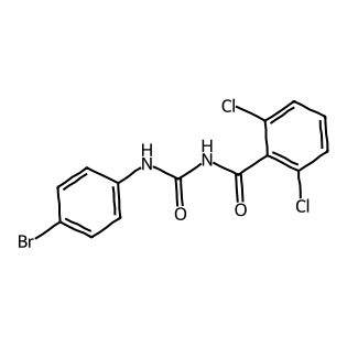 O=C(NC(=O)c1c(Cl)cccc1Cl)Nc1ccc(Br)cc1